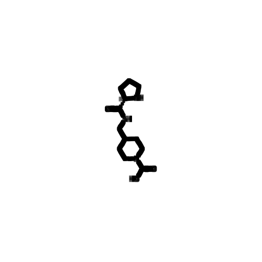 O=C(NCC1CCN(C(=O)O)CC1)[C@@H]1CCCN1